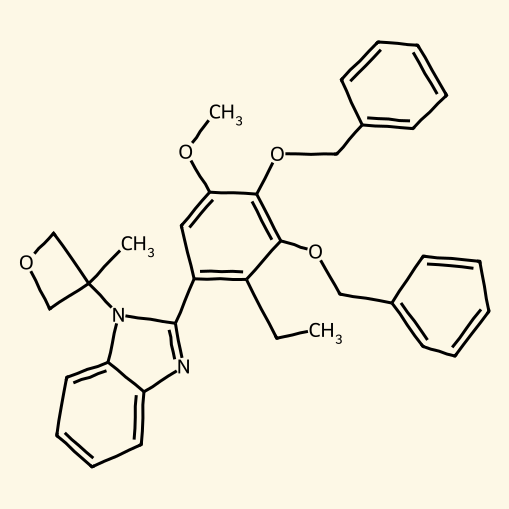 CCc1c(-c2nc3ccccc3n2C2(C)COC2)cc(OC)c(OCc2ccccc2)c1OCc1ccccc1